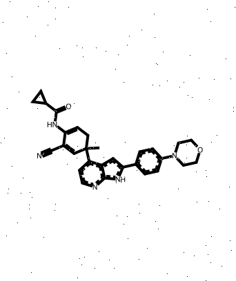 CC1(c2ccnc3[nH]c(-c4ccc(N5CCOCC5)cc4)cc23)C=C(C#N)C(NC(=O)C2CC2)=CC1